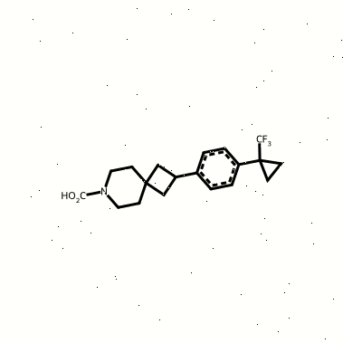 O=C(O)N1CCC2(CC1)CC(c1ccc(C3(C(F)(F)F)CC3)cc1)C2